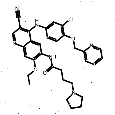 CCOc1cc2ncc(C#N)c(Nc3ccc(OCc4ccccn4)c(Cl)c3)c2cc1NC(=O)CCCN1CCCC1